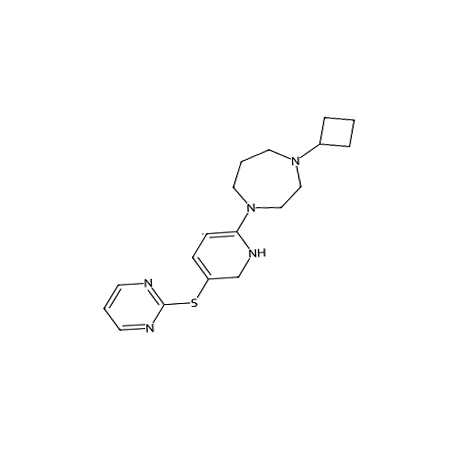 [C]1=C(N2CCCN(C3CCC3)CC2)NCC(Sc2ncccn2)=C1